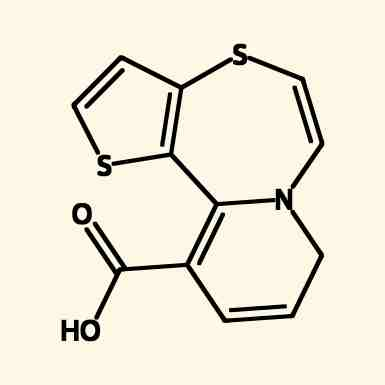 O=C(O)C1=C2c3sccc3SC=CN2CC=C1